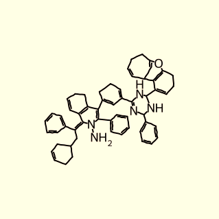 NN1C(c2ccccc2)=C(C2=CC(C3=NC(c4ccccc4)NC(C4=CCCC5=C4C4C=CCCC(=C4)O5)N3)=CCC2)C2=C(C=CCC2)/C1=C(/CC1CC=CCC1)c1ccccc1